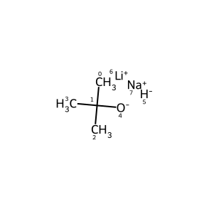 CC(C)(C)[O-].[H-].[Li+].[Na+]